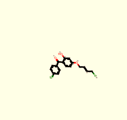 O=C(c1ccc(Br)cc1)c1ccc(OC/C=C/CBr)cc1O